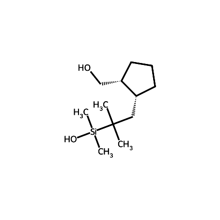 CC(C)(C[C@H]1CCC[C@H]1CO)[Si](C)(C)O